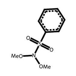 CON(OC)S(=O)(=O)c1ccccc1